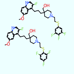 COc1ccc2ncc(F)c(CCCC3(CO)CCN(CCSc4c(F)cc(F)cc4F)CC3)c2c1.COc1ccc2ncc(F)c(CCCC3(CO)CCN(CCSc4cc(F)c(F)c(F)c4)CC3)c2c1